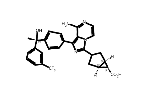 C[C@@](O)(c1ccc(-c2nc(C3C[C@@H]4[C@H](C3)[C@@H]4C(=O)O)n3ccnc(N)c23)cc1)c1cccc(C(F)(F)F)c1